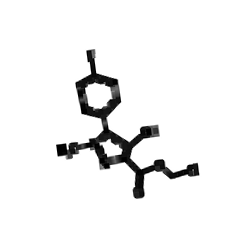 Cn1nc(C(=O)OCCl)c(O)c1-c1ccc(F)cc1